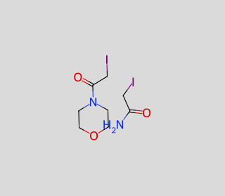 NC(=O)CI.O=C(CI)N1CCOCC1